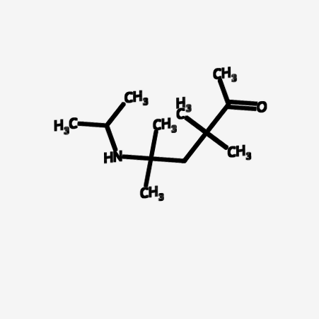 CC(=O)C(C)(C)CC(C)(C)NC(C)C